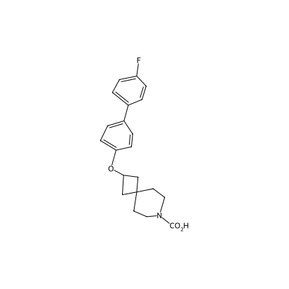 O=C(O)N1CCC2(CC1)CC(Oc1ccc(-c3ccc(F)cc3)cc1)C2